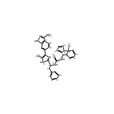 Nc1n[nH]c2cc(-c3nc([C@H](Cc4ccccc4)NC(=O)NCC4C=CC=CC4(Cl)n4cncn4)[nH]c3Cl)ccc12